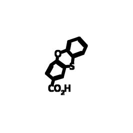 O=C(O)c1ccc2c(c1)Sc1ccccc1O2